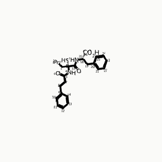 CC(C)C[C@](S)(NC(=O)CCc1ccccc1)C(=O)N[C@@H](Cc1ccccc1)C(=O)O